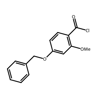 COc1cc(OCc2ccccc2)ccc1C(=O)Cl